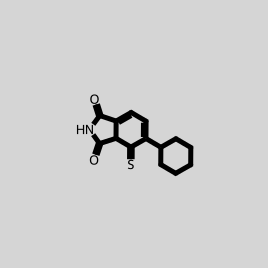 O=C1NC(=O)C2C(=S)C(C3CCCCC3)=CC=C12